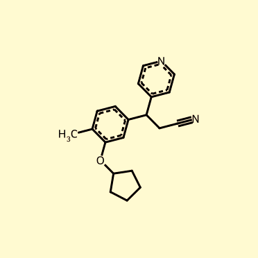 Cc1ccc(C(CC#N)c2ccncc2)cc1OC1CCCC1